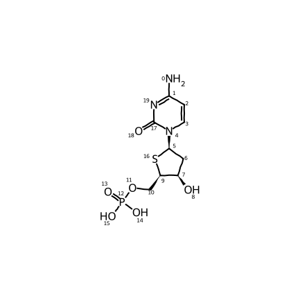 Nc1ccn([C@H]2C[C@@H](O)[C@@H](COP(=O)(O)O)S2)c(=O)n1